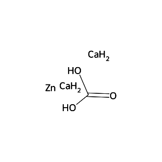 O=C(O)O.[CaH2].[CaH2].[Zn]